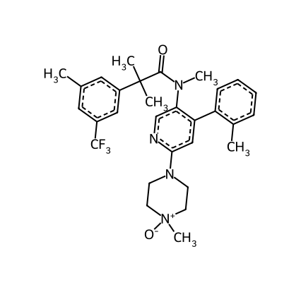 Cc1cc(C(F)(F)F)cc(C(C)(C)C(=O)N(C)c2cnc(N3CC[N+](C)([O-])CC3)cc2-c2ccccc2C)c1